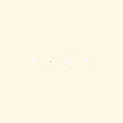 CCN1CCC(c2ccc(N3CCC(=NOC)CC3)cc2)C1